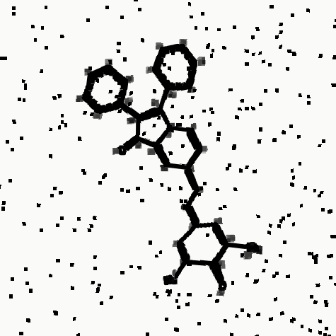 CC(C)(C)C1=CC(=CC=C2C=CN3C(=C2)C(=O)C(c2ccccc2)=C3c2ccccc2)C=C(C(C)(C)C)C1=O